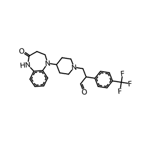 O=CC(CN1CCC(N2CCC(=O)Nc3ccccc32)CC1)c1ccc(C(F)(F)F)cc1